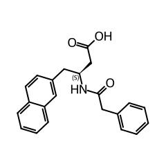 O=C(O)C[C@H](Cc1ccc2ccccc2c1)NC(=O)Cc1ccccc1